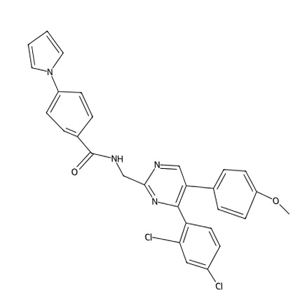 COc1ccc(-c2cnc(CNC(=O)c3ccc(-n4cccc4)cc3)nc2-c2ccc(Cl)cc2Cl)cc1